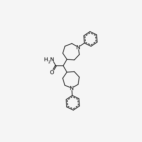 NC(=O)C(C1CCCN(c2ccccc2)CC1)C1CCCN(c2ccccc2)CC1